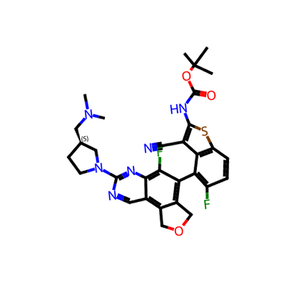 CN(C)C[C@@H]1CCN(c2ncc3c4c(c(-c5c(F)ccc6sc(NC(=O)OC(C)(C)C)c(C#N)c56)c(F)c3n2)COC4)C1